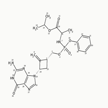 C=C1[C@H](COP(=O)(NC(C)C(=O)OC(C)C)Oc2ccccc2)C[C@@H]1n1cnc2c(=O)[nH]c(N)nc21